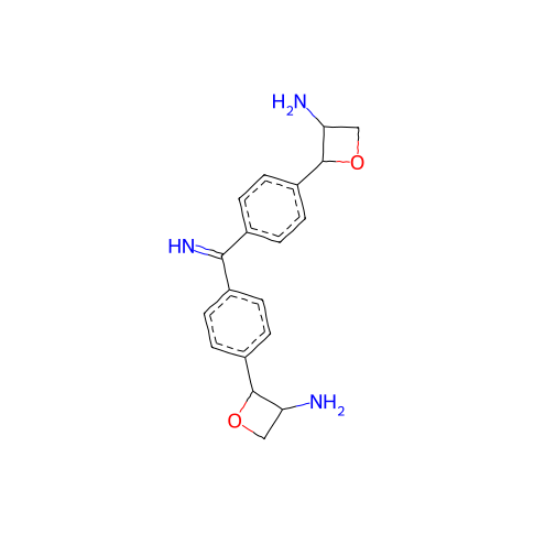 N=C(c1ccc(C2OCC2N)cc1)c1ccc(C2OCC2N)cc1